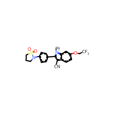 CC(C)n1c(-c2ccc(N3CCCS3(=O)=O)cc2)c(C#N)c2ccc(OCC(F)(F)F)cc21